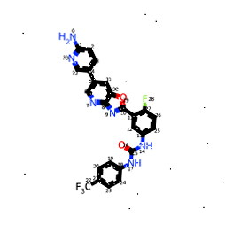 Nc1ccc(-c2cnc3nc(-c4cc(NC(=O)Nc5ccc(C(F)(F)F)cc5)ccc4F)oc3c2)cn1